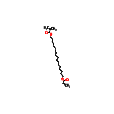 C=CC(=O)OCCCCCCCCCCCCCCCCCCOC(=O)C(=C)C